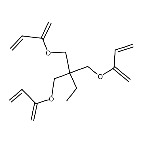 C=CC(=C)OCC(CC)(COC(=C)C=C)COC(=C)C=C